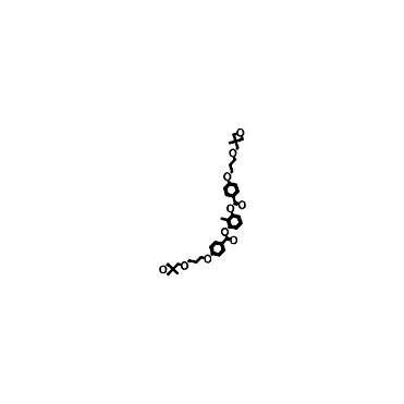 Cc1c(OC(=O)c2ccc(OCCCOCC3(C)COC3)cc2)cccc1OC(=O)c1ccc(OCCCOCC2(C)COC2)cc1